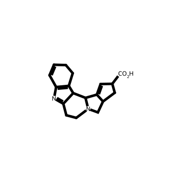 O=C(O)C1C=C2C(C1)CN1CCC3=NC4=C(CCC=C4)C3C21